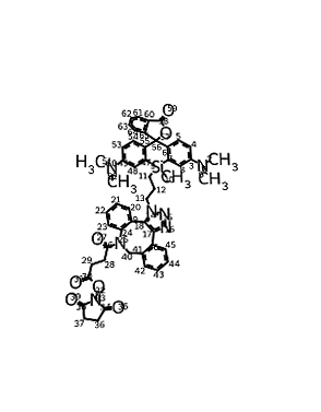 CN(C)c1ccc2c(c1)[Si](C)(CCCn1nnc3c1-c1ccccc1N(C(=O)CCC(=O)ON1C(=O)CCC1=O)Cc1ccccc1-3)c1cc(N(C)C)ccc1C21OC(=O)c2ccccc21